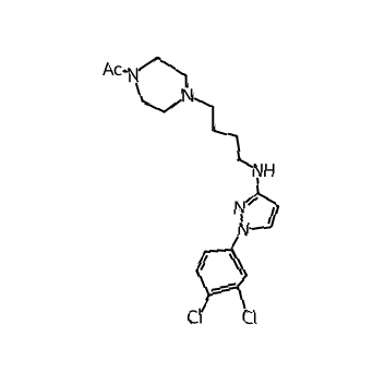 CC(=O)N1CCN(CCCCNc2ccn(-c3ccc(Cl)c(Cl)c3)n2)CC1